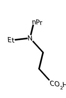 CCCN(CC)CCC(=O)O